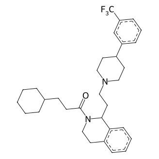 O=C(CCC1CCCCC1)N1CCc2ccccc2C1CCN1CCC(c2cccc(C(F)(F)F)c2)CC1